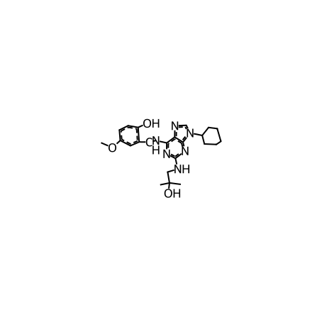 COc1ccc(O)c(CNc2nc(NCC(C)(C)O)nc3c2ncn3C2CCCCC2)c1